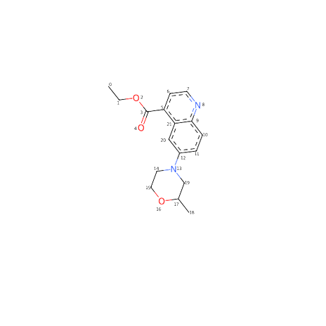 CCOC(=O)c1ccnc2ccc(N3CCOC(C)C3)cc12